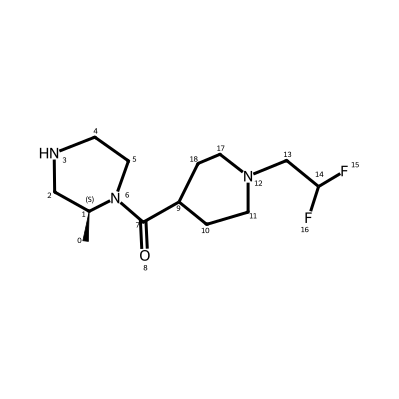 C[C@H]1CNCCN1C(=O)C1CCN(CC(F)F)CC1